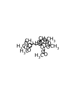 COc1cc(CCCC[C@@]2(O)O[C@H](COC(C)=O)[C@@H](OC(C)=O)[C@H](OC(C)=O)[C@H]2OC(C)=O)cc(OC)c1OC